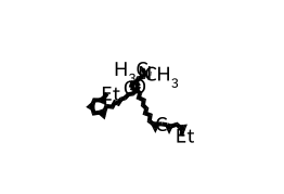 CCC1CC1CC1CC1CC1CC1CCCCCCCCC1(CCCCCCCCC2CC2CC2CC2CC2CC2CC)OCC(CCN(C)C)O1